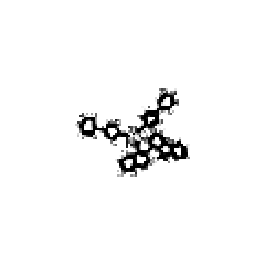 CC1(C)c2ccccc2-c2cccc(-c3ccc4ccccc4c3-c3nc(-c4ccc(-c5ccccc5)cc4)nc(-c4ccc(-c5ccccc5)cc4)n3)c21